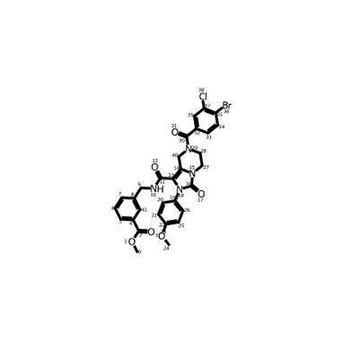 COC(=O)c1cccc(CNC(=O)c2c3n(c(=O)n2-c2ccc(OC)cc2)CCN(C(=O)c2ccc(Br)c(Cl)c2)C3)c1